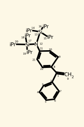 C=C(c1ccccc1)c1ccc(N([Si](C(C)C)(C(C)C)C(C)C)[Si](C(C)C)(C(C)C)C(C)C)cc1